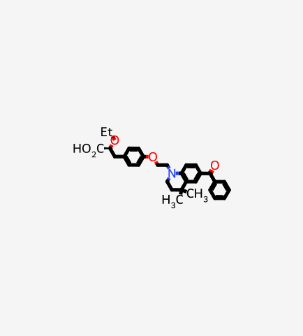 CCO[C@@H](Cc1ccc(OCCN2CCC(C)(C)c3cc(C(=O)c4ccccc4)ccc32)cc1)C(=O)O